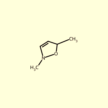 CC1C=CN(C)O1